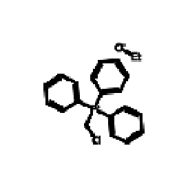 CC[O-].ClC[P+](c1ccccc1)(c1ccccc1)c1ccccc1